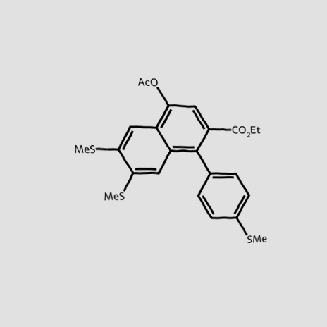 CCOC(=O)c1cc(OC(C)=O)c2cc(SC)c(SC)cc2c1-c1ccc(SC)cc1